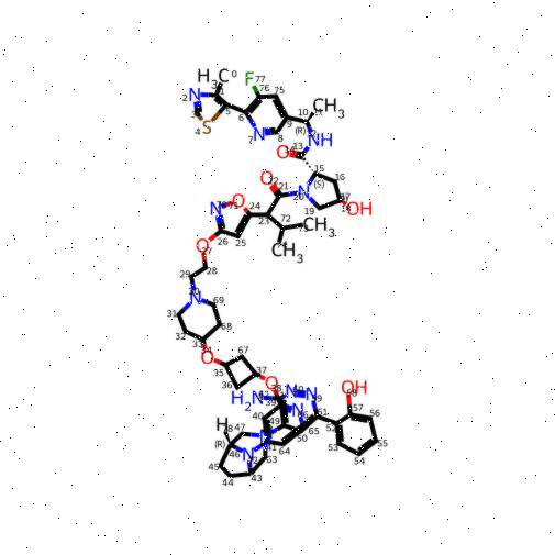 Cc1ncsc1-c1ncc([C@@H](C)NC(=O)[C@@H]2C[C@@H](O)CN2C(=O)C(c2cc(OCCN3CCC(OC4CC(Oc5cc(N6C7CC[C@@H]6CN(c6cc(-c8ccccc8O)nnc6N)C7)ccn5)C4)CC3)no2)C(C)C)cc1F